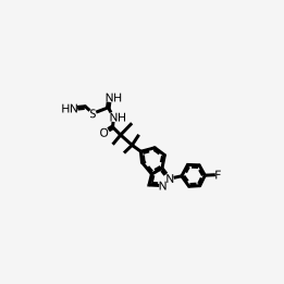 CC(C)(C(=O)NC(=N)SC=N)C(C)(C)c1ccc2c(cnn2-c2ccc(F)cc2)c1